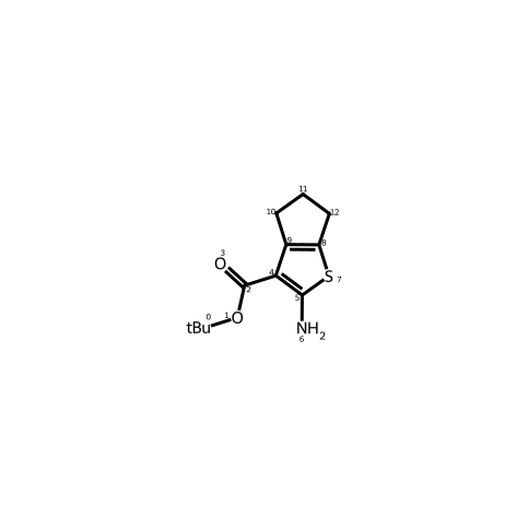 CC(C)(C)OC(=O)c1c(N)sc2c1CCC2